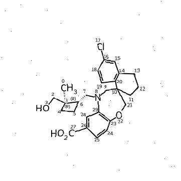 C[C@@]1(CO)CC[C@H]1CN1CC2(CCCc3cc(Cl)ccc32)COc2ccc(C(=O)O)cc21